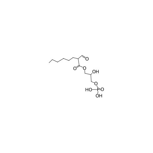 CCCCCCC(C=O)C(=O)OCC(O)COP(=O)(O)O